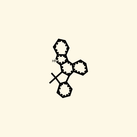 CC1(C)c2ccccc2-c2c1c1[nH]c3ccccc3c1c1ccccc21